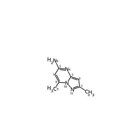 Cc1cc2nc(N)cc(C)n2n1